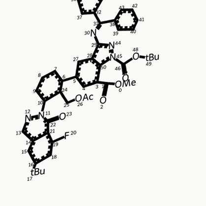 COC(=O)c1cc(-c2cccc(-n3ncc4cc(C(C)(C)C)cc(F)c4c3=O)c2COC(C)=O)cc2c(N=C(c3ccccc3)c3ccccc3)nn(C(=O)OC(C)(C)C)c12